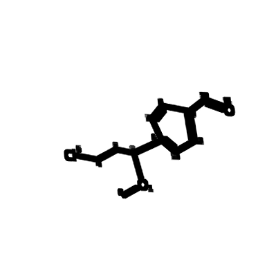 COC(CCCl)c1ccc(C=O)cc1